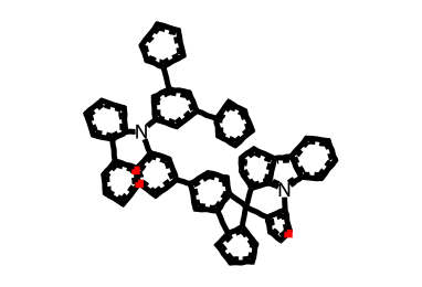 c1ccc(-c2cc(-c3ccccc3)cc(N(c3cccc(-c4ccc5c(c4)-c4ccccc4C54c5ccccc5-n5c6ccccc6c6cccc4c65)c3)c3ccccc3-c3ccccc3)c2)cc1